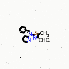 Cc1sc(N(Cc2ccccc2)c2ccccn2)nc1C=O